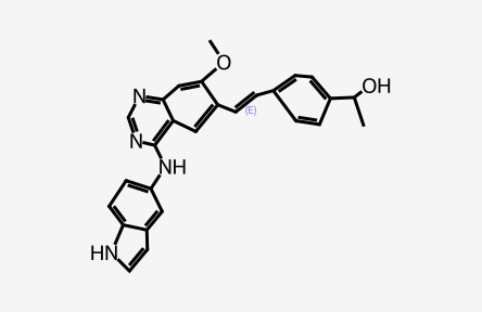 COc1cc2ncnc(Nc3ccc4[nH]ccc4c3)c2cc1/C=C/c1ccc(C(C)O)cc1